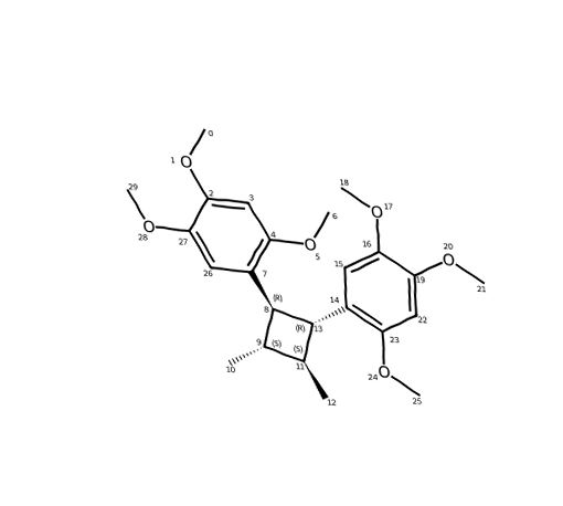 COc1cc(OC)c([C@@H]2[C@@H](C)[C@H](C)[C@H]2c2cc(OC)c(OC)cc2OC)cc1OC